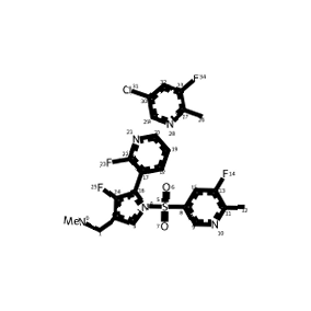 CNCc1cn(S(=O)(=O)c2cnc(C)c(F)c2)c(-c2cccnc2F)c1F.Cc1ncc(Cl)cc1F